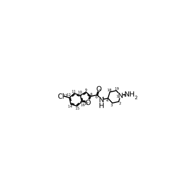 NN1CCC(NC(=O)c2cc3cc(Cl)ccc3o2)CC1